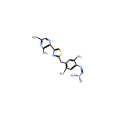 CCN(C)/C=N\c1cc(C)c(Cc2nc(-c3ncc(C)nc3C)cs2)cc1C